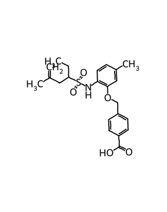 C=C(C)CC(CC)S(=O)(=O)Nc1ccc(C)cc1OCc1ccc(C(=O)O)cc1